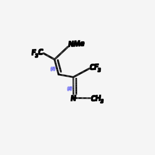 C/N=C(/C=C(\NC)C(F)(F)F)C(F)(F)F